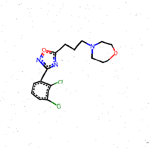 Clc1cccc(-c2noc(CCCN3CCOCC3)n2)c1Cl